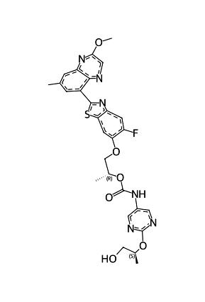 COc1cnc2c(-c3nc4cc(F)c(OC[C@@H](C)OC(=O)Nc5cnc(O[C@@H](C)CO)nc5)cc4s3)cc(C)cc2n1